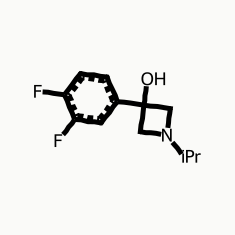 CC(C)N1CC(O)(c2ccc(F)c(F)c2)C1